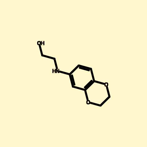 OCCNc1ccc2c(c1)OCCO2